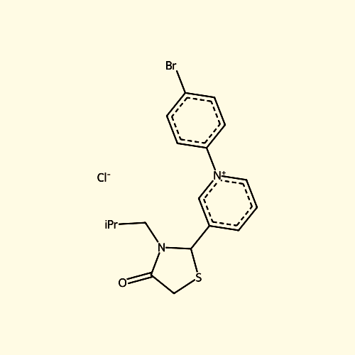 CC(C)CN1C(=O)CSC1c1ccc[n+](-c2ccc(Br)cc2)c1.[Cl-]